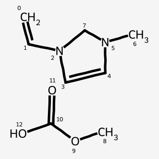 C=CN1C=CN(C)C1.COC(=O)O